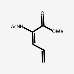 C=CC=C(NC(C)=O)C(=O)OC